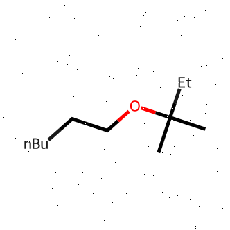 [CH2]CCCCCOC(C)(C)CC